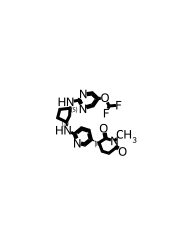 CN1C(=O)CC[C@H](c2ccc(N[C@H]3CC[C@H](Nc4ncc(OC(F)F)cn4)C3)nc2)C1=O